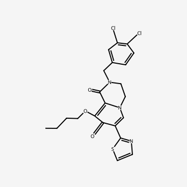 CCCCOc1c2n(cc(-c3nccs3)c1=O)CCN(Cc1ccc(Cl)c(Cl)c1)C2=O